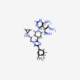 Cc1cc(-c2cn(CCNC3CC3)c(C3CCN(c4ncnc(N)c4/C(C=N)=C/N)CC3)n2)ccc1F